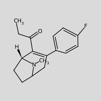 CCC(=O)C1=C(c2ccc(F)cc2)CC2CC[C@H]1N2C